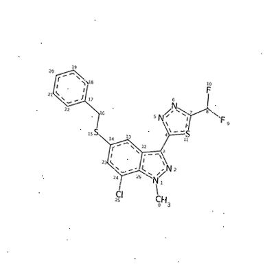 Cn1nc(-c2nnc(C(F)F)s2)c2cc(SCc3ccccc3)cc(Cl)c21